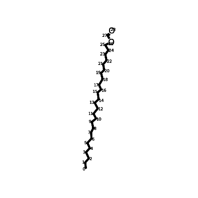 CCCCCCCCCCCCCCCCCCCCCCCCCCOC=O